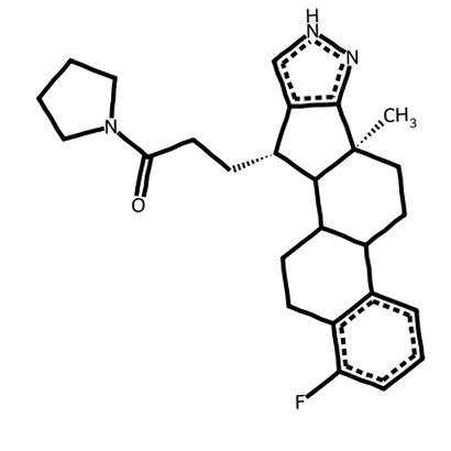 C[C@]12CCC3c4cccc(F)c4CCC3C1[C@H](CCC(=O)N1CCCC1)c1c[nH]nc12